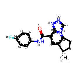 C[C@H]1CCc2c1cc(C(=O)Nc1ccc(F)cc1)c1nncn21